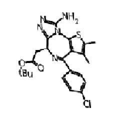 Cc1sc2c(c1C)C(c1ccc(Cl)cc1)=N[C@@H](CC(=O)OC(C)(C)C)c1nnc(N)n1-2